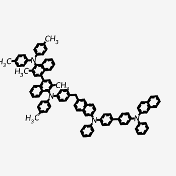 Cc1ccc(N(c2ccc(C)cc2)c2c(C)cc(-c3cc(C)c(N(c4ccc(C)cc4)c4ccc(Cc5ccc6cc(N(c7ccccc7)c7ccc(-c8ccc(N(c9ccccc9)c9ccc%10ccccc%10c9)cc8)cc7)ccc6c5)cc4)c4ccccc34)c3ccccc23)cc1